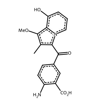 COc1c(C)c(C(=O)c2ccc(N)c(C(=O)O)c2)n2cccc(O)c12